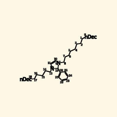 CCCCCCCCCCCCCCCCCCN1C=CN(CCCCCCCCCCCCCCC)C1c1ccccc1